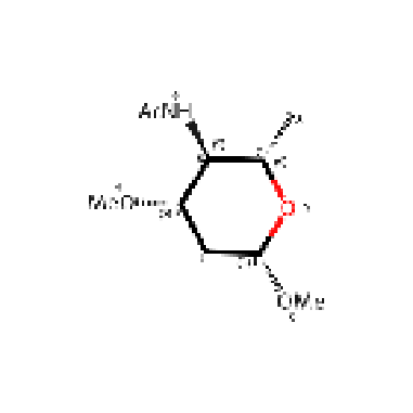 CO[C@@H]1C[C@H](OC)[C@@H](NC(C)=O)[C@H](C)O1